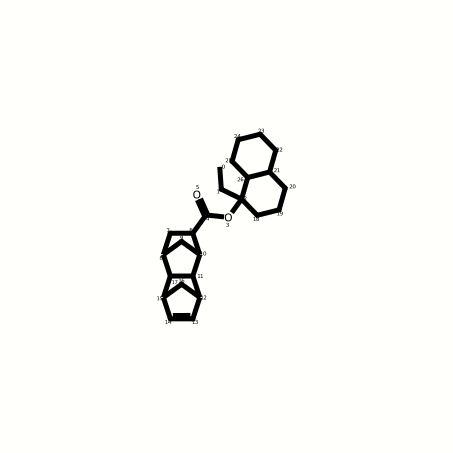 CCC1(OC(=O)C2CC3CC2C2C4C=CC(C4)C32)CCCC2CCCCC21